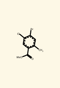 COC(=O)c1cc(Cl)c(C(C)=O)cc1C